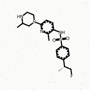 Cc1nc(N2CCNC(C)C2)ccc1NS(=O)(=O)c1ccc([C@@H](C)CF)cc1